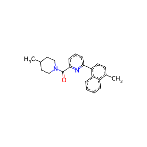 Cc1ccc(-c2cccc(C(=O)N3CCC(C)CC3)n2)c2ccccc12